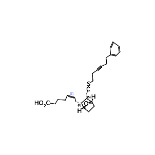 O=C(O)CCC/C=C\C[C@@H]1[C@H](CCSCCC#CCCc2ccccc2)[C@@H]2CC[C@H]1O2